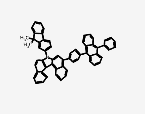 CC1(C)c2ccccc2-c2ccc(-n3c4ccc5ccccc5c4c4c5ccccc5c(-c5ccc(-c6c7ccccc7c(-c7ccccc7)c7ccccc67)cc5)cc43)cc21